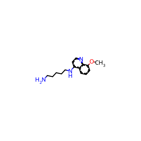 COc1cccc2c(NCCCCCN)ccnc12